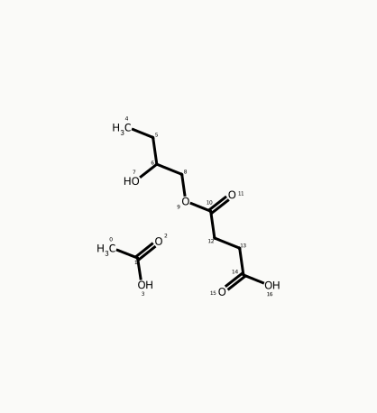 CC(=O)O.CCC(O)COC(=O)CCC(=O)O